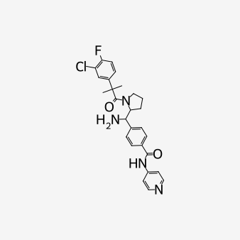 CC(C)(C(=O)N1CCCC1C(N)c1ccc(C(=O)Nc2ccncc2)cc1)c1ccc(F)c(Cl)c1